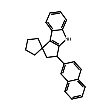 c1ccc2cc(C3CC4(CCCC4)c4c3[nH]c3ccccc43)ccc2c1